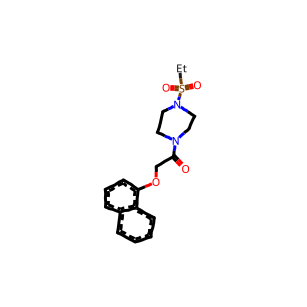 CCS(=O)(=O)N1CCN(C(=O)COc2cccc3ccccc23)CC1